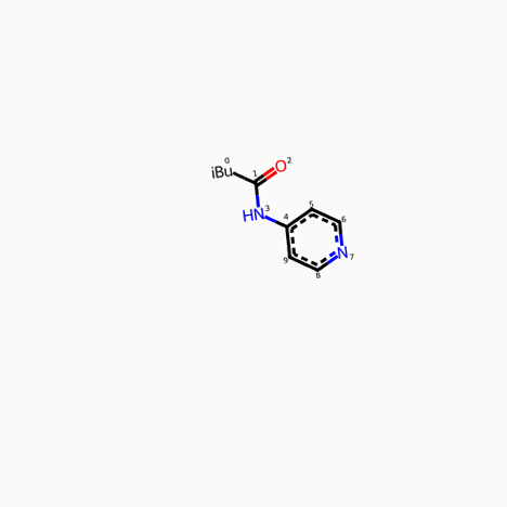 CCC(C)C(=O)Nc1ccncc1